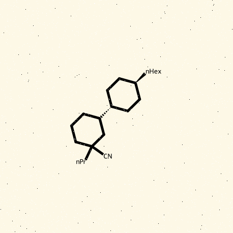 CCCCCC[C@H]1CC[C@H](C2CCCC(C#N)(CCC)C2)CC1